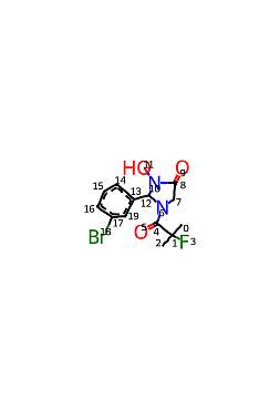 CC(C)(F)C(=O)N1CC(=O)N(O)C1c1cccc(Br)c1